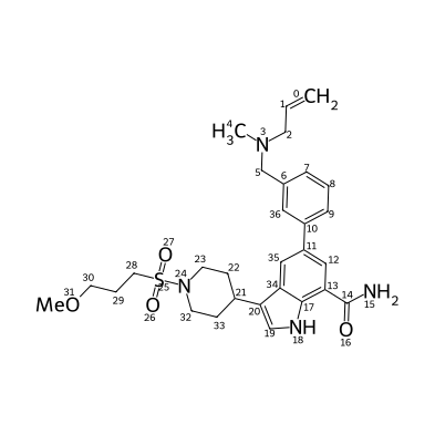 C=CCN(C)Cc1cccc(-c2cc(C(N)=O)c3[nH]cc(C4CCN(S(=O)(=O)CCCOC)CC4)c3c2)c1